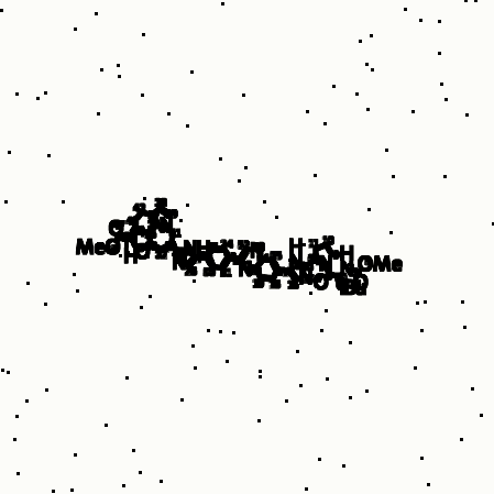 CC[C@H](C)[C@H](NC(=O)OC)C(=O)N1CCC[C@H]1c1ncc(-c2ccc3nc(-c4ccc(-c5cnc([C@H]6CC(=O)C7c8c(ccn8C6)CC[C@@H]7NC(=O)OC)[nH]5)cc4)cnc3c2)[nH]1